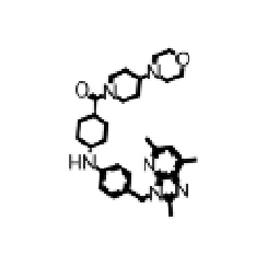 Cc1cc(C)c2nc(C)n(Cc3ccc(N[C@H]4CC[C@H](C(=O)N5CCC(N6CCOCC6)CC5)CC4)cc3)c2n1